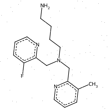 Cc1cccnc1CN(CCCCN)Cc1ncccc1F